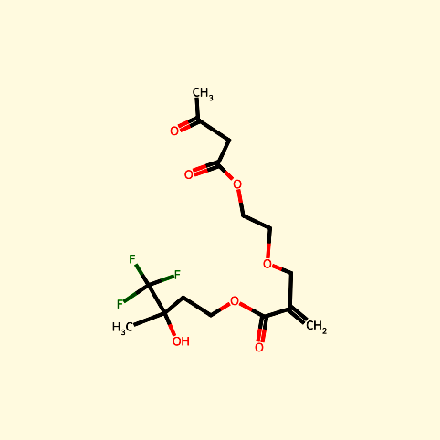 C=C(COCCOC(=O)CC(C)=O)C(=O)OCCC(C)(O)C(F)(F)F